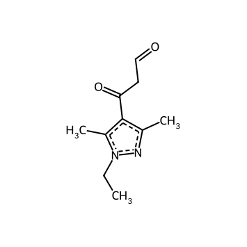 CCn1nc(C)c(C(=O)CC=O)c1C